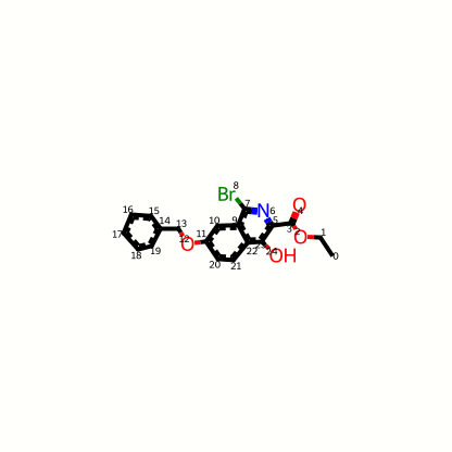 CCOC(=O)c1nc(Br)c2cc(OCc3ccccc3)ccc2c1O